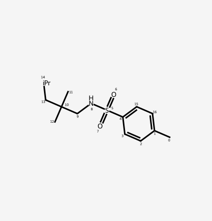 Cc1ccc(S(=O)(=O)NCC(C)(C)CC(C)C)cc1